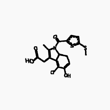 CSc1ccc(C(=O)N2C(C)=C(CC(=O)O)C3=C(Cl)C(O)=CCC32)s1